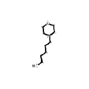 CC[CH]CCCN1CCOCC1